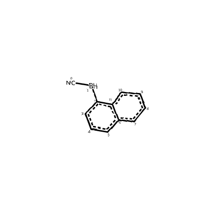 N#CBc1cccc2ccccc12